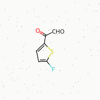 O=CC(=O)c1ccc(F)s1